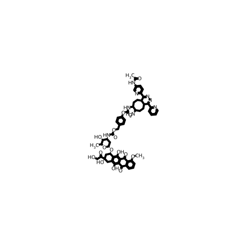 COc1cccc2c1C(=O)c1c(O)c3c(c(O)c1C2=O)C[C@@](O)(C(=O)CO)C[C@@H]3O[C@H]1C[C@@H](NC(=O)OCc2ccc(OC(=O)NC3CCC4C(c5ccc(NC(C)=O)cn5)=NN=C(c5ccccn5)C4CCC3N)cc2)[C@H](O)C(C)O1